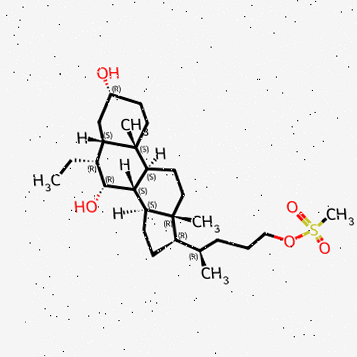 CC[C@H]1[C@@H](O)[C@@H]2[C@H](CC[C@]3(C)[C@@H]([C@H](C)CCCOS(C)(=O)=O)CC[C@@H]23)[C@@]2(C)CC[C@@H](O)C[C@@H]12